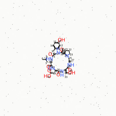 CC(C)C[C@@H]1NC(=O)[C@H](Cc2ccc(O)cc2)NC(=O)[C@@H]2CCCN2C[C@H](C)NC(=O)[C@H]([C@@H](C)O)NC(=O)[C@H](CC(=O)O)NC1=O